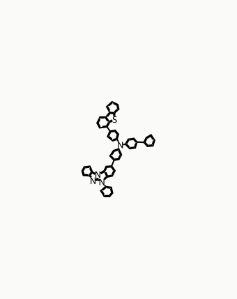 c1ccc(-c2ccc(N(c3ccc(-c4ccc5c(c4)n4c6ccccc6nc4n5-c4ccccc4)cc3)c3ccc(-c4cccc5c4sc4ccccc45)cc3)cc2)cc1